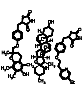 CCc1ccc(CCOc2ccc(CC3SC(=O)NC3=O)cc2)nc1.C[C@H]1CC[C@]2(NC1)O[C@H]1C[C@H]3[C@@H]4CC[C@H]5C[C@@H](O)CC[C@]5(C)[C@H]4CC[C@]3(C)[C@H]1[C@@H]2C.Cc1c(C)c2c(c(C)c1O)CCC(C)(COc1ccc(CC3SC(=O)NC3=O)cc1)O2